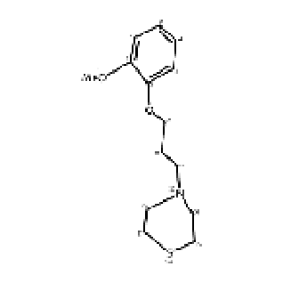 COc1c[c]ccc1OCCCN1CCSCC1